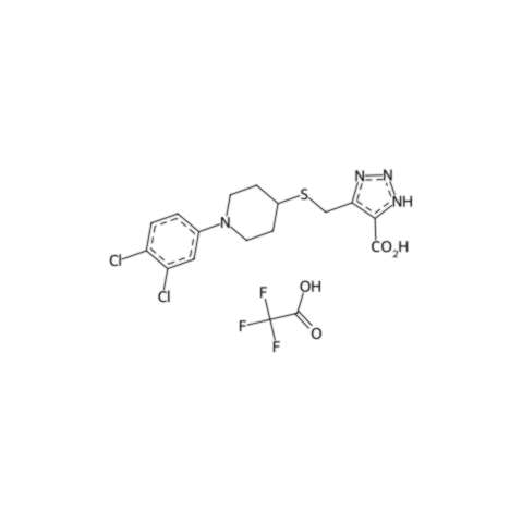 O=C(O)C(F)(F)F.O=C(O)c1[nH]nnc1CSC1CCN(c2ccc(Cl)c(Cl)c2)CC1